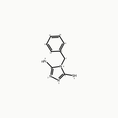 CCCc1nnc(S)n1Cc1ccccc1